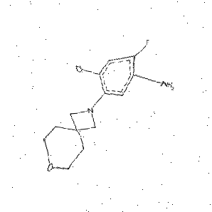 Nc1cc(N2CC3(CCOCC3)C2)c(Cl)cc1F